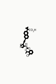 CC(OC(=O)Nc1cnoc1C#Cc1ccc2cc(C3(C(=O)O)CC3)ccc2c1)c1ccccc1Cl